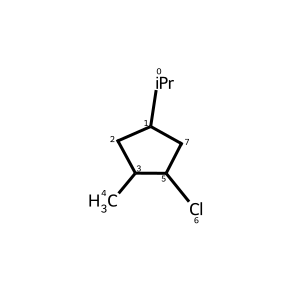 CC(C)C1CC(C)C(Cl)C1